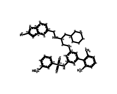 Cc1cccc(C)c1-c1cc(OCC(CC2CCCOC2)NCc2cnc3oc(C(C)C)cc3n2)nc(NS(=O)(=O)c2cccc(C(=O)O)c2)n1